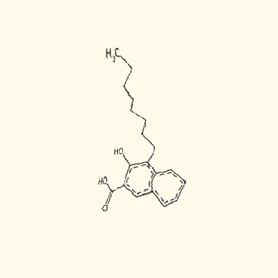 CCCCCCCCc1c(O)c(C(=O)O)cc2ccccc12